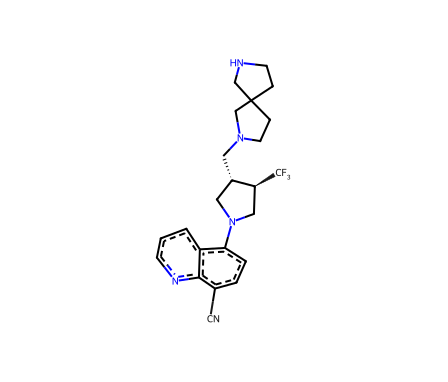 N#Cc1ccc(N2C[C@H](CN3CCC4(CCNC4)C3)[C@@H](C(F)(F)F)C2)c2cccnc12